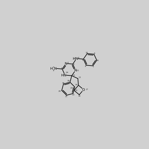 NC1=NC(Nc2ccccc2)=NC(CC2CCO2)(c2ccccc2)N1